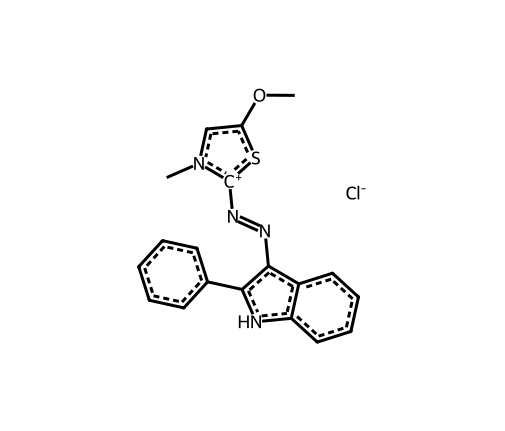 COc1cn(C)[c+](N=Nc2c(-c3ccccc3)[nH]c3ccccc23)s1.[Cl-]